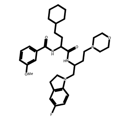 COc1cccc(C(=O)NC(CCC2CCCCC2)C(=O)NC(CCN2CCOCC2)CN2CCc3cc(F)ccc32)c1